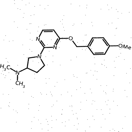 COc1ccc(COc2ccnc(N3CCC(N(C)C)C3)n2)cc1